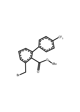 CC(C)(C)OC(=O)c1c(CBr)cccc1-c1ccc(C(F)(F)F)cc1